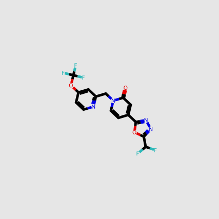 O=c1cc(-c2nnc(C(F)F)o2)ccn1Cc1cc(OC(F)(F)F)ccn1